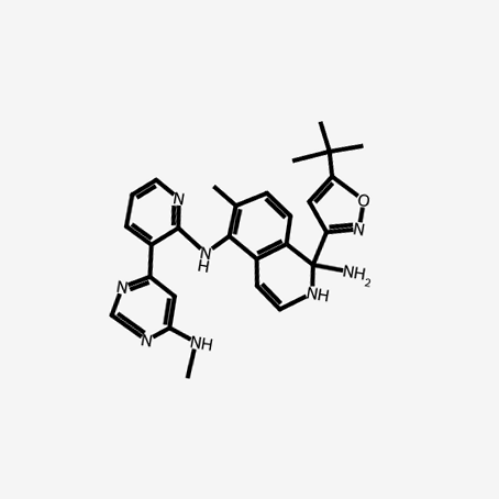 CNc1cc(-c2cccnc2Nc2c(C)ccc3c2C=CNC3(N)c2cc(C(C)(C)C)on2)ncn1